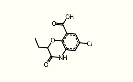 CCC1Oc2c(cc(Cl)cc2C(=O)O)NC1=O